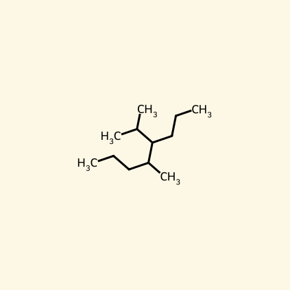 CCCC(C)C(CCC)C(C)C